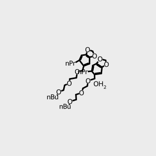 CCCCOCCOCCOCc1cc2c(cc1CCC)OCO2.CCCCOCCOCCOCc1cc2c(cc1CCC)OCO2.O